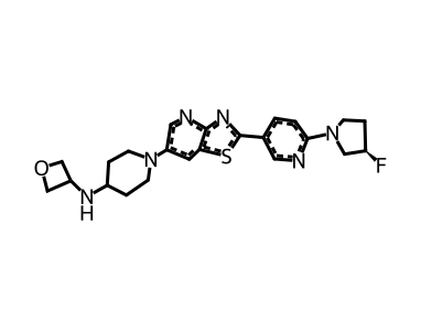 F[C@@H]1CCN(c2ccc(-c3nc4ncc(N5CCC(NC6COC6)CC5)cc4s3)cn2)C1